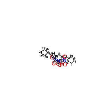 O=C([O-])[C@]1(N2CC3CC=CCC3C2)C(=O)C[C@@H]2C[N+]1(O)C(=O)N2OCc1ccccc1